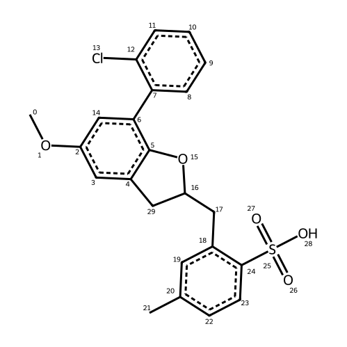 COc1cc2c(c(-c3ccccc3Cl)c1)OC(Cc1cc(C)ccc1S(=O)(=O)O)C2